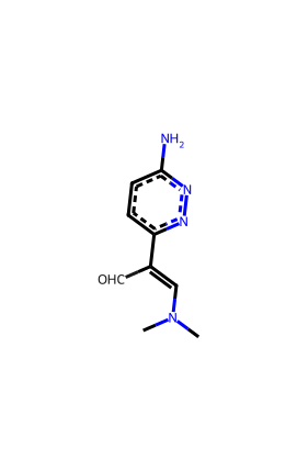 CN(C)C=C(C=O)c1ccc(N)nn1